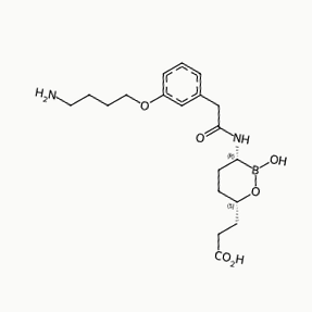 NCCCCOc1cccc(CC(=O)N[C@H]2CC[C@@H](CCC(=O)O)OB2O)c1